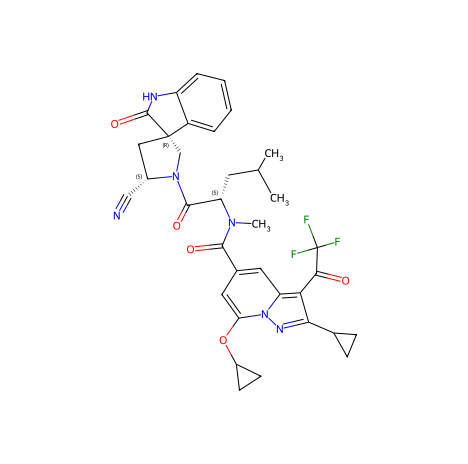 CC(C)C[C@@H](C(=O)N1C[C@]2(C[C@H]1C#N)C(=O)Nc1ccccc12)N(C)C(=O)c1cc(OC2CC2)n2nc(C3CC3)c(C(=O)C(F)(F)F)c2c1